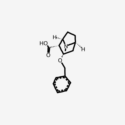 CN1[C@H]2CC[C@@H]1[C@@H](C(=O)O)[C@@H](OCc1ccccc1)C2